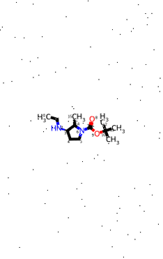 CCN[C@@H]1CCN(C(=O)OC(C)(C)C)C1C